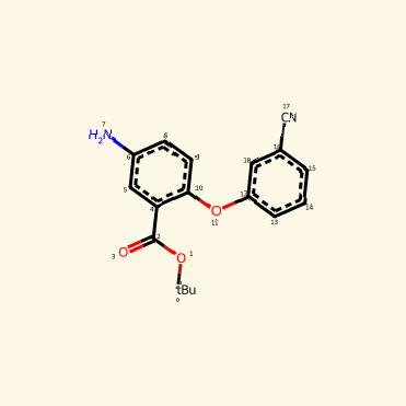 CC(C)(C)OC(=O)c1cc(N)ccc1Oc1cccc(C#N)c1